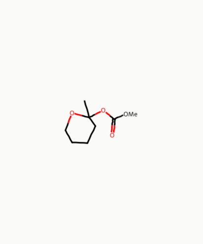 COC(=O)OC1(C)CCCCO1